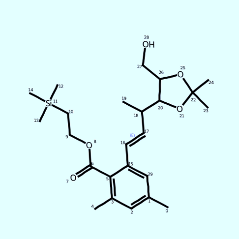 Cc1cc(C)c(C(=O)OCC[Si](C)(C)C)c(/C=C/C(C)C2OC(C)(C)OC2CO)c1